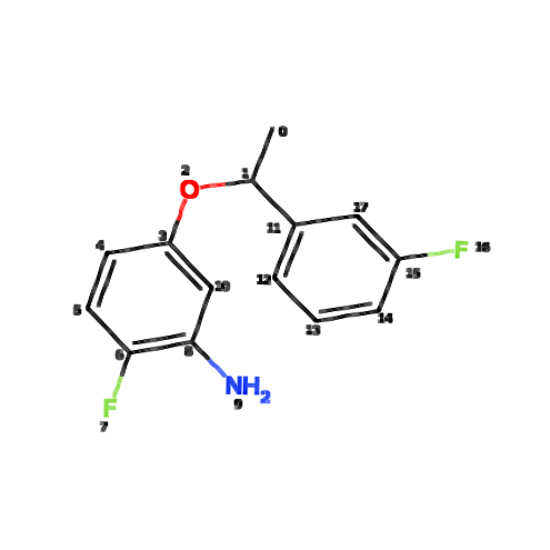 CC(Oc1ccc(F)c(N)c1)c1cccc(F)c1